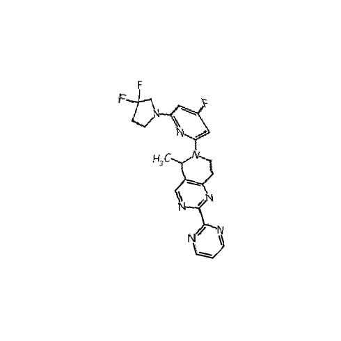 CC1c2cnc(-c3ncccn3)nc2CCN1c1cc(F)cc(N2CCC(F)(F)C2)n1